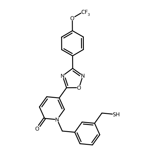 O=c1ccc(-c2nc(-c3ccc(OC(F)(F)F)cc3)no2)cn1Cc1cccc(CS)c1